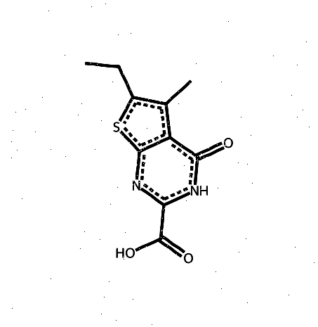 CCc1sc2nc(C(=O)O)[nH]c(=O)c2c1C